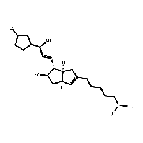 CCC1CCC([C@@H](O)/C=C/[C@@H]2[C@H]3CC(CCCCCN(C)C)=C[C@H]3C[C@H]2O)C1